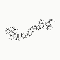 COC(=O)NC(C(=O)N1CCC[C@H]1c1ncc(-c2ccc3cc(-c4ccc(-c5cnc([C@@H]6CCCN6C(=O)[C@H](c6ccccc6)C(C)C)[nH]5)cc4)ccc3c2)[nH]1)C(C)C